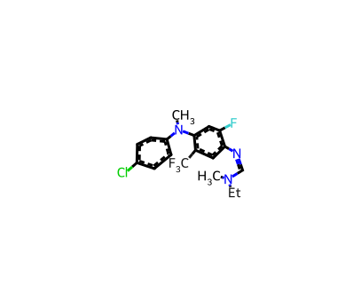 CCN(C)/C=N\c1cc(C(F)(F)F)c(N(C)c2ccc(Cl)cc2)cc1F